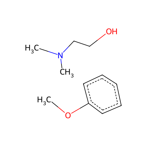 CN(C)CCO.COc1ccccc1